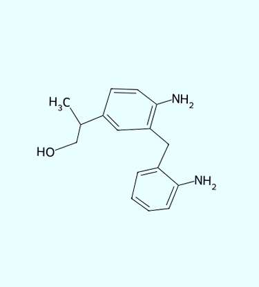 CC(CO)c1ccc(N)c(Cc2ccccc2N)c1